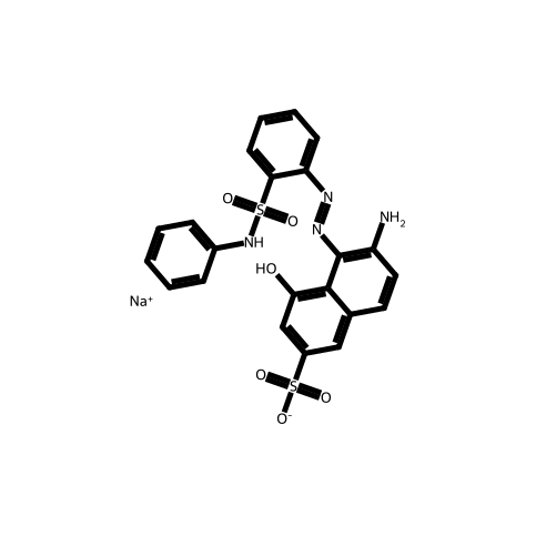 Nc1ccc2cc(S(=O)(=O)[O-])cc(O)c2c1N=Nc1ccccc1S(=O)(=O)Nc1ccccc1.[Na+]